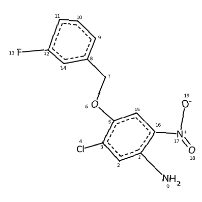 Nc1cc(Cl)c(OCc2cccc(F)c2)cc1[N+](=O)[O-]